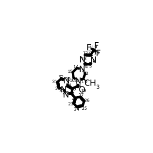 C[C@@H]1CN(c2cnc(C(F)(F)F)cn2)CCCN1C(=O)c1c(-c2ccccc2)nn2cccnc12